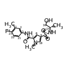 Cc1cc(NC(=O)c2cc(S(=O)(=O)N[C@H](C)CO)cn2C)ccc1F